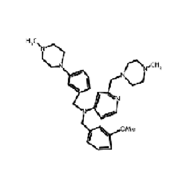 COc1cccc(CN(Cc2cccc(N3CCN(C)CC3)c2)c2ccnc(CN3CCN(C)CC3)c2)c1